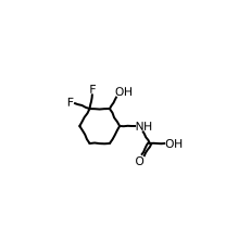 O=C(O)NC1CCCC(F)(F)C1O